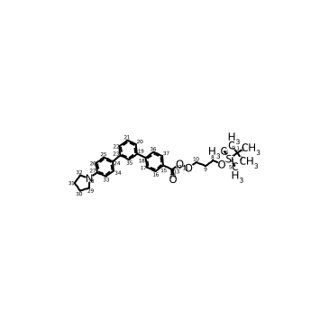 CC(C)(C)[Si](C)(C)OCCCOOC(=O)c1ccc(-c2cccc(-c3ccc(N4CCCC4)cc3)c2)cc1